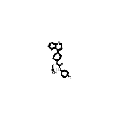 C#CC[C@@H](C(=O)Nc1ccc(Cl)cc1)C1CCC(c2ccnc3ccccc23)CC1